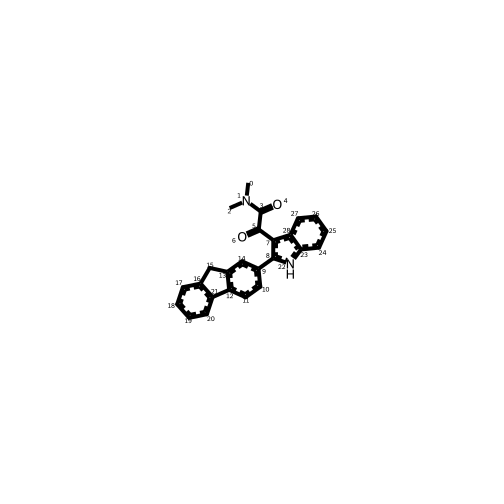 CN(C)C(=O)C(=O)c1c(-c2ccc3c(c2)Cc2ccccc2-3)[nH]c2ccccc12